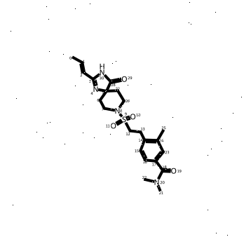 CC=CC1=NC2(CCN(S(=O)(=O)CCc3ccc(C(=O)N(C)C)cc3C)CC2)C(=O)N1